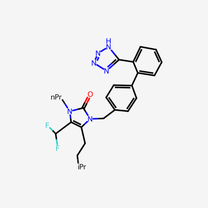 CCCn1c(C(F)F)c(CCC(C)C)n(Cc2ccc(-c3ccccc3-c3nnn[nH]3)cc2)c1=O